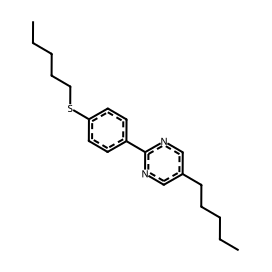 CCCCCSc1ccc(-c2ncc(CCCCC)cn2)cc1